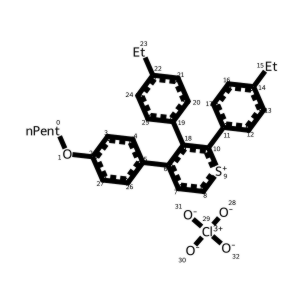 CCCCCOc1ccc(-c2cc[s+]c(-c3ccc(CC)cc3)c2-c2ccc(CC)cc2)cc1.[O-][Cl+3]([O-])([O-])[O-]